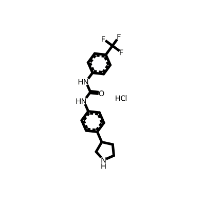 Cl.O=C(Nc1ccc(C2CCNC2)cc1)Nc1ccc(C(F)(F)F)cc1